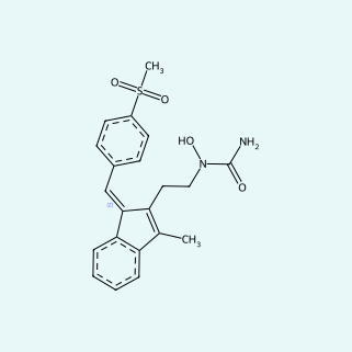 CC1=C(CCN(O)C(N)=O)/C(=C\c2ccc(S(C)(=O)=O)cc2)c2ccccc21